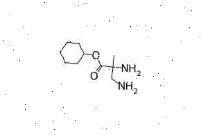 CC(N)(CN)C(=O)OC1CCCCC1